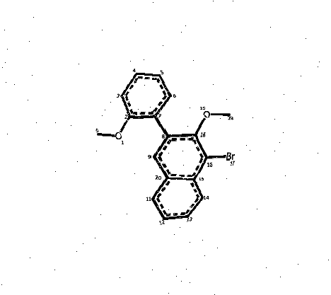 COc1ccccc1-c1cc2ccccc2c(Br)c1OC